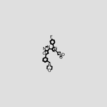 O=S1(=O)CC(n2cc(-c3ncnc4oc(-c5cccc(CN6CCOCC6)c5)cc34)c(-c3ccc(F)cc3)n2)C1